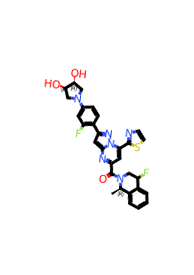 C[C@@H]1c2ccccc2C(F)CN1C(=O)c1cc(-c2nccs2)n2nc(-c3ccc(N4C[C@@H](O)[C@H](O)C4)cc3F)cc2n1